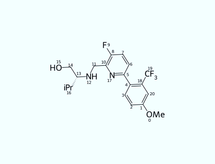 COc1ccc(-c2ccc(F)c(CN[C@@H](CO)C(C)C)n2)c(C(F)(F)F)c1